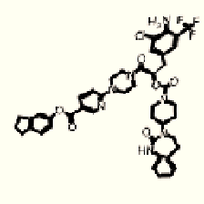 Nc1c(Cl)cc(C[C@@H](OC(=O)N2CCC(N3CCc4ccccc4NC3=O)CC2)C(=O)N2CCN(c3ccc(C(=O)Oc4ccc5c(c4)CCC5)cn3)CC2)cc1C(F)(F)F